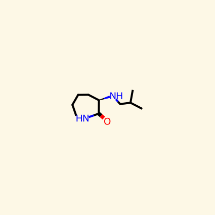 CC(C)CN[C@@H]1CCCCNC1=O